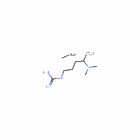 CN(C)C(CCCNC(=N)N)C(=O)O.CNC